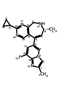 Cc1cn2cc(C3=C[C@@H](C)NCc4nc(C5CC5)ncc43)cc(F)c2n1